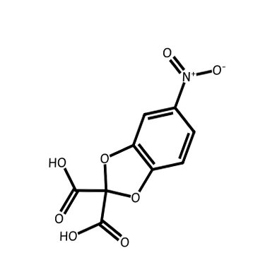 O=C(O)C1(C(=O)O)Oc2ccc([N+](=O)[O-])cc2O1